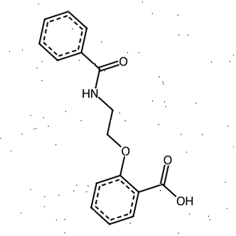 O=C(NCCOc1ccccc1C(=O)O)c1ccccc1